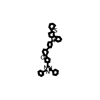 c1ccc(-c2nc(-c3ccccc3)nc(-c3ccc4c(c3)oc3ccc(-c5ccc(-n6c7ccccc7c7c8sc9ccccc9c8ccc76)cc5)cc34)n2)cc1